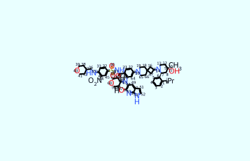 CC(C)c1ccccc1[C@@H]1C[C@](C)(O)CCN1C1CC2(CCN(c3ccc(C(=O)NS(=O)(=O)c4ccc(NCC5CCOCC5)c([N+](=O)[O-])c4)c(N4c5cc6cc[nH]c6nc5O[C@H]5COCC[C@@H]54)c3)CC2)C1